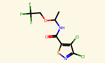 CC(NC(=O)c1snc(Cl)c1Cl)OCC(F)(F)F